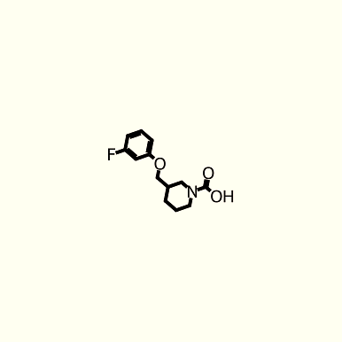 O=C(O)N1CCCC(COc2cccc(F)c2)C1